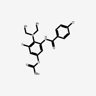 CCCCC(=O)Oc1cc(F)c(N(CC(C)C)CC(C)C)c(NC(=O)c2ccc(Cl)cc2)c1